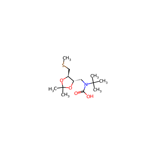 CSC[C@@H]1OC(C)(C)O[C@H]1CN(C(=O)O)C(C)(C)C